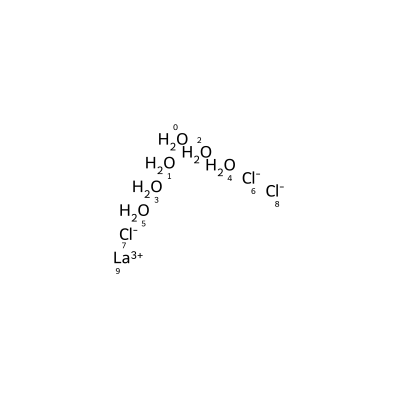 O.O.O.O.O.O.[Cl-].[Cl-].[Cl-].[La+3]